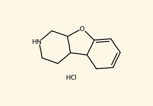 C1=CCC2C(=C1)OC1CNCCC12.Cl